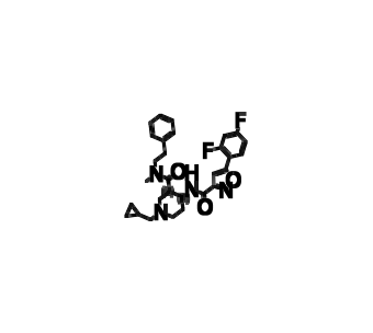 CN(CCc1ccccc1)C(=O)[C@@H]1CN(CC2CC2)CC[C@H]1NC(=O)c1cc(-c2ccc(F)cc2F)on1